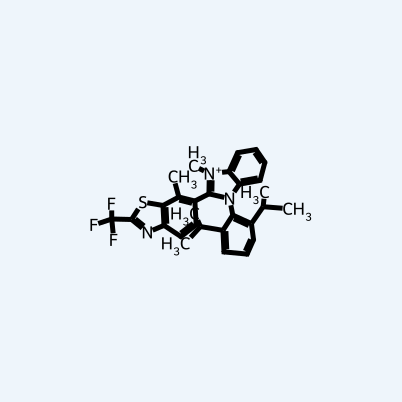 Cc1c(-c2n(-c3c(C(C)C)cccc3C(C)C)c3ccccc3[n+]2C)ccc2nc(C(F)(F)F)sc12